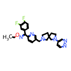 CCON=C(c1ccc(F)c(F)c1)c1ccc(CN2CCC3(CCN(c4ccnnc4)C3)C2)cn1